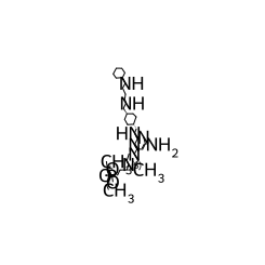 CCOP(=O)(CCCN1CCN(c2cc(N)nc(NC[C@H]3CC[C@H](CNCCCNC4CCCCC4)CC3)n2)C[C@@H]1C)OCC